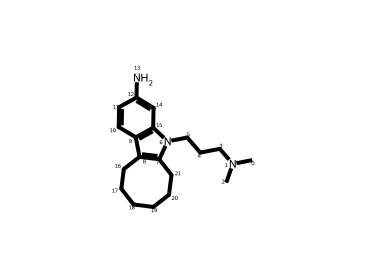 CN(C)CCCn1c2c(c3ccc(N)cc31)CCCCCC2